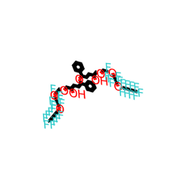 OC(CCC(OC(CCC(O)COCC(F)(F)OC(F)(F)C(F)(F)OC(F)(F)C(F)(F)C(F)(F)C(F)(F)F)c1ccccc1)c1ccccc1)COCC(F)(F)OC(F)(F)C(F)(F)OC(F)(F)C(F)(F)C(F)(F)C(F)(F)F